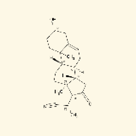 C[C@H](C#N)[C@H]1C(=O)C[C@H]2[C@@H]3CC=C4C[C@@H](O)CCC4(C)[C@H]3CC[C@]12C